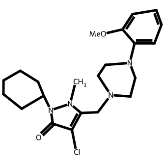 COc1ccccc1N1CCN(Cc2c(Cl)c(=O)n(C3CCCCC3)n2C)CC1